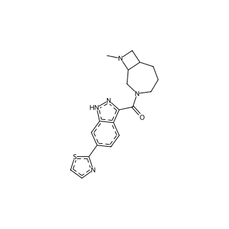 CN1CC2CCCN(C(=O)c3n[nH]c4cc(-c5nccs5)ccc34)CC21